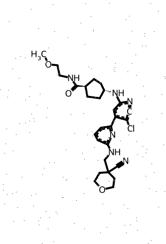 COCCNC(=O)[C@H]1CC[C@H](Nc2cc(-c3cccc(NCC4(C#N)CCOCC4)n3)c(Cl)cn2)CC1